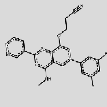 CNc1nc(-c2cccnc2)nc2c(OCCC#N)cc(-c3cc(F)cc(F)c3)cc12